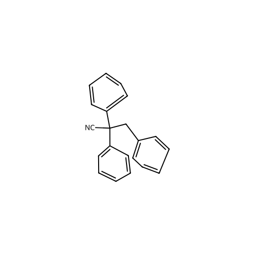 N#CC(Cc1ccccc1)(c1ccccc1)c1ccccc1